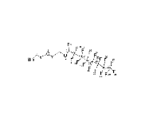 FC(OCCOCCBr)C(F)(F)C(F)(F)C(F)(F)C(F)(F)C(F)(F)C(F)(F)C(F)(F)F